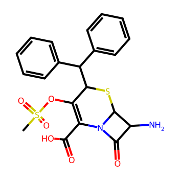 CS(=O)(=O)OC1=C(C(=O)O)N2C(=O)C(N)C2SC1C(c1ccccc1)c1ccccc1